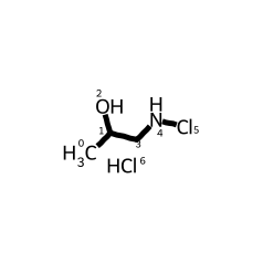 CC(O)CNCl.Cl